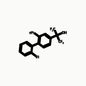 CCCc1cc(C(O)(C(F)(F)F)C(F)(F)F)ccc1-c1c[c]ccc1CC